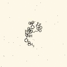 COc1cccc(-c2cnc([C@H](CCCCCC(=O)OC(=O)C(F)(F)F)NS(=O)(=O)c3cccc([N+](=O)[O-])c3)[nH]2)c1